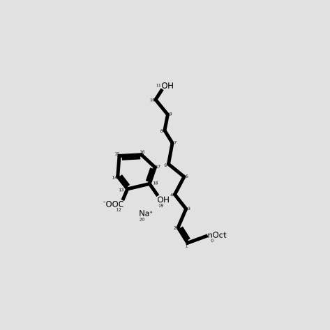 CCCCCCCC/C=C\CCCCCCCCO.O=C([O-])c1ccccc1O.[Na+]